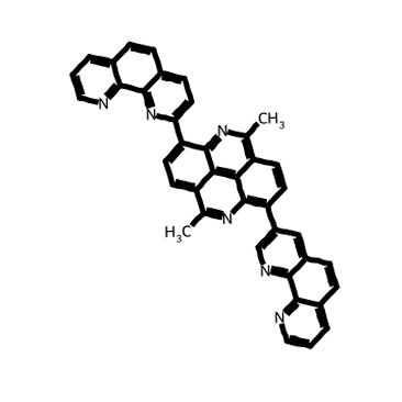 Cc1nc2c(-c3ccc4ccc5cccnc5c4n3)ccc3c(C)nc4c(-c5cnc6c(ccc7cccnc76)c5)ccc1c4c32